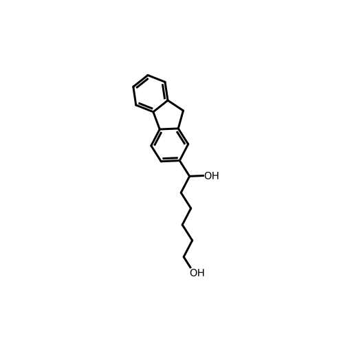 OCCCCCC(O)c1ccc2c(c1)Cc1ccccc1-2